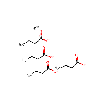 CCCC(=O)[O-].CCCC(=O)[O-].CCCC(=O)[O-].CCCC(=O)[O-].[Hf+4]